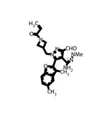 C=CC(=O)N1CC(Cn2nc(C=O)c(/C(N)=N\NC)c2-c2oc3ccc(C)cc3c2C)C1